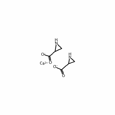 O=C([O-])C1CN1.O=C([O-])C1CN1.[Ca+2]